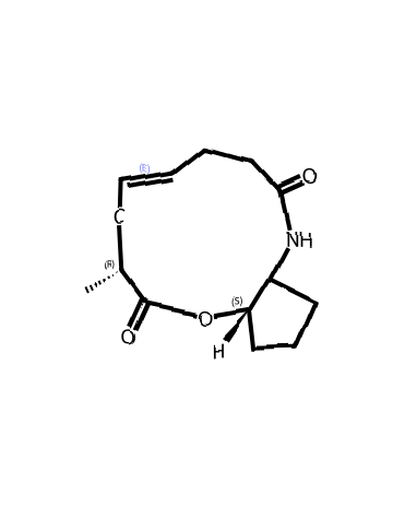 C[C@@H]1C/C=C/CCC(=O)NC2CCC[C@@H]2OC1=O